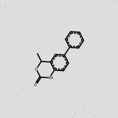 CC1OC(=O)Nc2ccc(-c3ccccc3)cc21